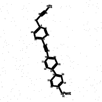 CCC#CCc1ccc(C#Cc2ccc(-c3ccc(CCCCC)cc3)cc2)cc1